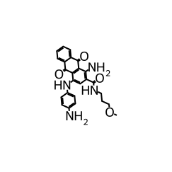 COCCCNC(=O)c1cc(Nc2ccc(N)cc2)c2c(c1N)C(=O)c1ccccc1C2=O